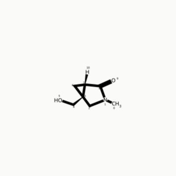 CN1C[C@]2(CO)C[C@@H]2C1=O